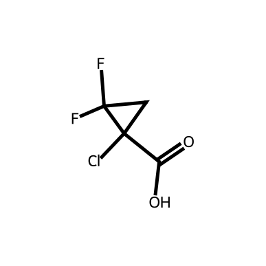 O=C(O)C1(Cl)CC1(F)F